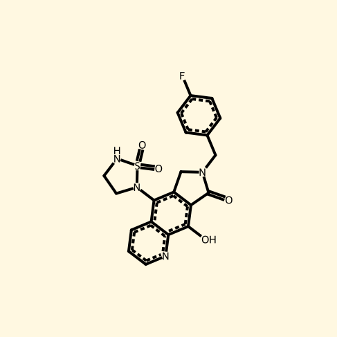 O=C1c2c(c(N3CCNS3(=O)=O)c3cccnc3c2O)CN1Cc1ccc(F)cc1